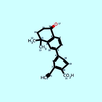 C#Cc1cc(-c2ccc3c(c2)C(C)(C)CCC3=O)ccc1C(=O)O